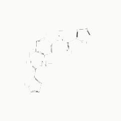 O=C(Nc1ccc(I)c(NC(=O)c2ccco2)c1)c1ccco1